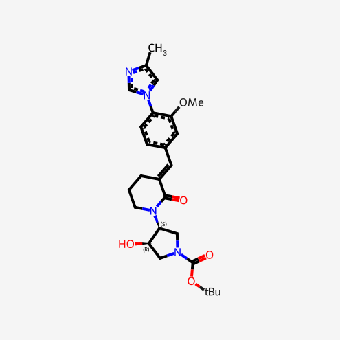 COc1cc(C=C2CCCN([C@H]3CN(C(=O)OC(C)(C)C)C[C@H]3O)C2=O)ccc1-n1cnc(C)c1